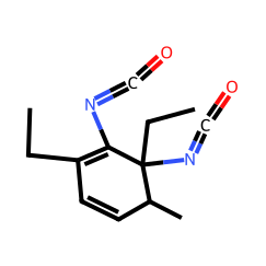 CCC1=C(N=C=O)C(CC)(N=C=O)C(C)C=C1